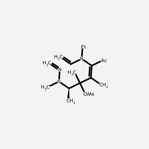 C=CN(CC)/C(C(C)=O)=C(/C)C(C)(OC)[C@@H](C)N(C)N=C